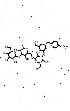 CC1OC(COC2OC(CO)C(O)C(OC3CN(Cc4ccc(C(=O)O)cc4)CC(CO)O3)C2O)C(O)C(OC2OC(CO)C(O)C(O)C2O)C1O